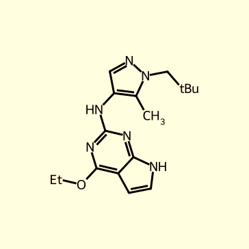 CCOc1nc(Nc2cnn(CC(C)(C)C)c2C)nc2[nH]ccc12